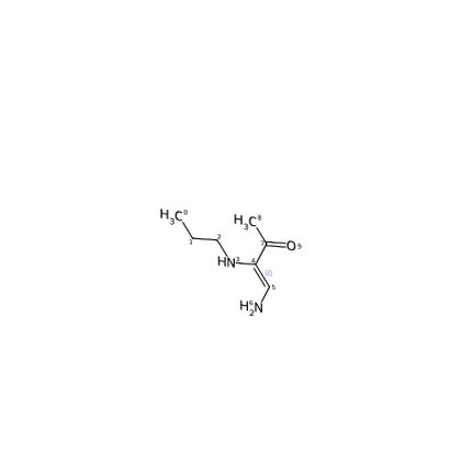 CCCN/C(=C\N)C(C)=O